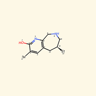 [2H]c1cc2c(nc1O)CNC[C@@H](CC)C2